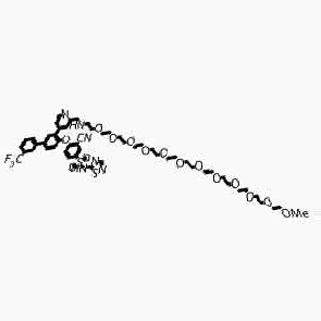 COCCOCCOCCOCCOCCOCCOCCOCCOCCOCCOCCOCCNCc1cc(-c2cc(-c3cccc(C(F)(F)F)c3)ccc2Oc2ccc(S(=O)(=O)Nc3ncns3)cc2C#N)ccn1